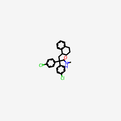 CNC(=O)C(CC1CCCc2[c]cccc21)(c1ccc(Cl)cc1)c1ccc(Cl)cc1